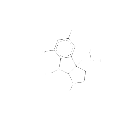 CC(=O)O.CN1CCC2(C)c3cc(O)cc([N+](=O)[O-])c3N(C)C12